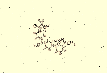 Cc1n[nH]c2c(-c3ccc(C(O)N4CCN(C(=O)C5(O)CC5)CC4)cc3)cccc12